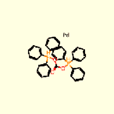 O=C(O[PH](c1ccccc1)(c1ccccc1)c1ccccc1)O[PH](c1ccccc1)(c1ccccc1)c1ccccc1.[Pd]